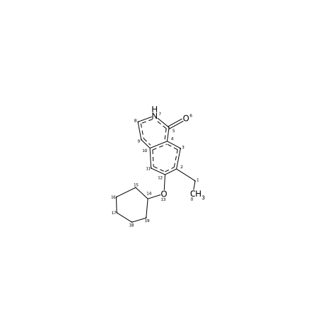 CCc1cc2c(=O)[nH]ccc2cc1OC1CCCCC1